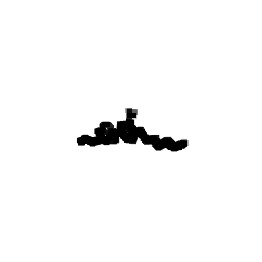 CCCCCCCc1ccc(C2OCC(CCC)CO2)cc1F